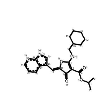 CC(C)OC(=O)C1=C(NCC2CCCCC2)OC(=Cc2c[nH]c3ncccc23)C1=O